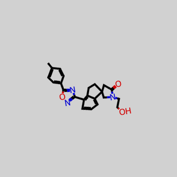 Cc1ccc(-c2nc(-c3cccc4c3CCC43CC(=O)N(CCO)C3)no2)cc1